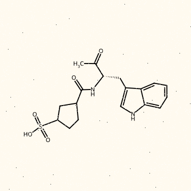 CC(=O)[C@H](Cc1c[nH]c2ccccc12)NC(=O)C1CCC(S(=O)(=O)O)C1